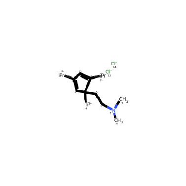 CC(C)C1=C[C]([Ti+2])(CCN(C)C)C(C(C)C)=C1.[Cl-].[Cl-]